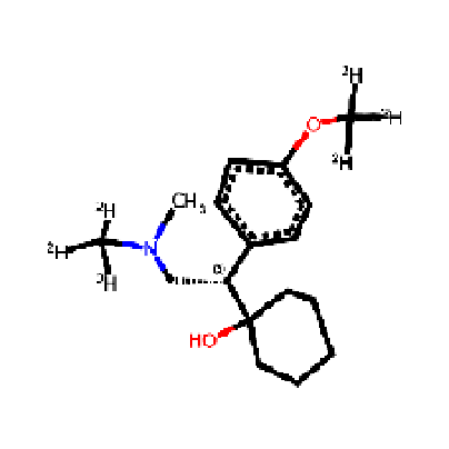 [2H]C([2H])([2H])Oc1ccc([C@@H](CN(C)C([2H])([2H])[2H])C2(O)CCCCC2)cc1